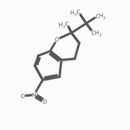 CC(C)(C)C1(C)CCc2cc([N+](=O)[O-])ccc2O1